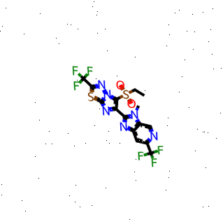 CCS(=O)(=O)c1c(-c2nc3cc(C(F)(F)F)ncc3n2C)nc2sc(C(F)(F)F)nn12